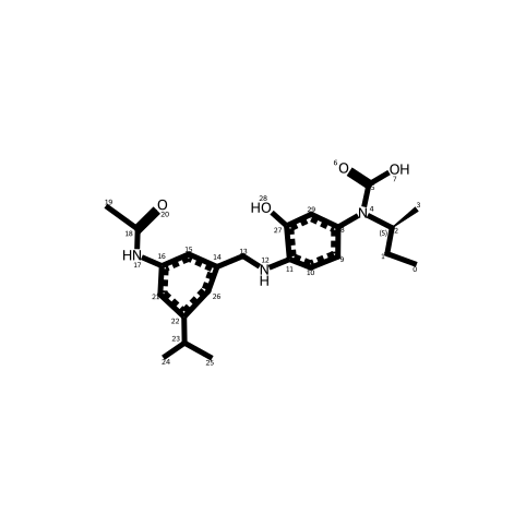 CC[C@H](C)N(C(=O)O)c1ccc(NCc2cc(NC(C)=O)cc(C(C)C)c2)c(O)c1